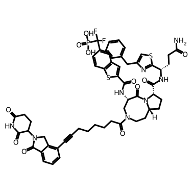 NC(=O)CC[C@H](NC(=O)[C@@H]1CC[C@@H]2CCN(C(=O)CCCCCC#Cc3cccc4c3CN(C3CCC(=O)NC3=O)C4=O)C[C@H](NC(=O)c3cc4cc(C(F)(F)P(=O)(O)O)ccc4s3)C(=O)N21)c1nc(Cc2ccccc2)cs1